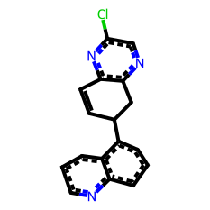 Clc1cnc2c(n1)C=CC(c1cccc3ncccc13)C2